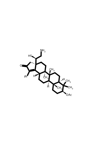 CC(=O)O[C@H]1CC[C@]2(C)[C@H]3CC[C@@H]4C5=C(C(C)C)C(=O)C[C@]5([C@@H](S)CN)CC[C@@]4(C)[C@]3(C)CC[C@H]2C1(C)C